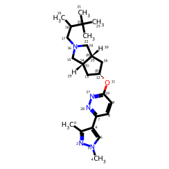 Cc1nn(C)cc1-c1ccc(O[C@@H]2C[C@@H]3CN(CC(C)C(C)(C)C)C[C@@H]3C2)nn1